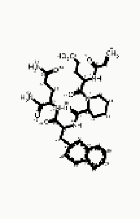 C=CC(=O)NC(CCC(=O)O)C(=O)N1CCCCC1C(=O)NC(Cc1ccc2ccccc2c1)C(=O)NC(CCC(N)=O)C(N)=O